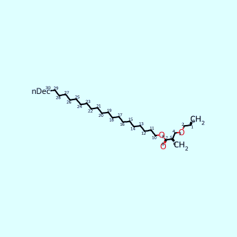 C=CCOCC(=C)C(=O)OCCCCCCCCCCCCCCCCCCCCCCCCCCCCCC